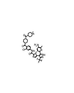 Cc1nc(-c2[nH]nc(C(F)(F)F)c2-c2cnc(C(=O)Nc3ccc(C(=O)N4CCN(C(=O)C5CC[N+](C)(C)CC5)CC4)c(Cl)c3)n2C)ccc1N